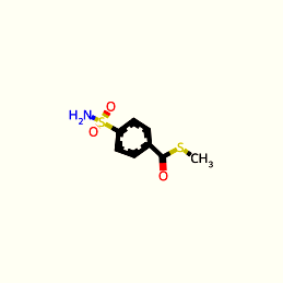 CSC(=O)c1ccc(S(N)(=O)=O)cc1